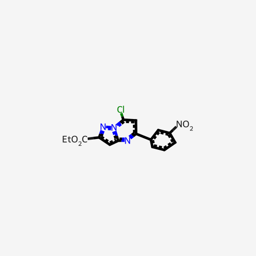 CCOC(=O)c1cc2nc(-c3cccc([N+](=O)[O-])c3)cc(Cl)n2n1